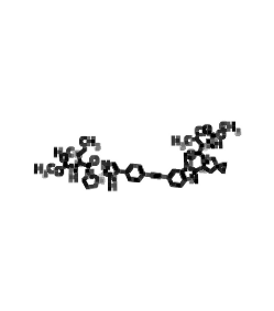 CC[C@@H](C)[C@H](NC(=O)OC)C(=O)N1CCC[C@H]1c1ncc(-c2ccc(C#Cc3ccc4nc([C@@H]5CC6(CC6)CN5C(=O)[C@@H](NC(=O)OC)C(C)C)[nH]c4c3)cc2)[nH]1